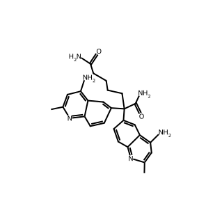 Cc1cc(N)c2cc(C(CCCCC(N)=O)(C(N)=O)c3ccc4nc(C)cc(N)c4c3)ccc2n1